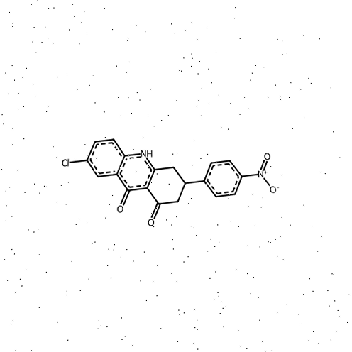 O=C1CC(c2ccc([N+](=O)[O-])cc2)Cc2[nH]c3ccc(Cl)cc3c(=O)c21